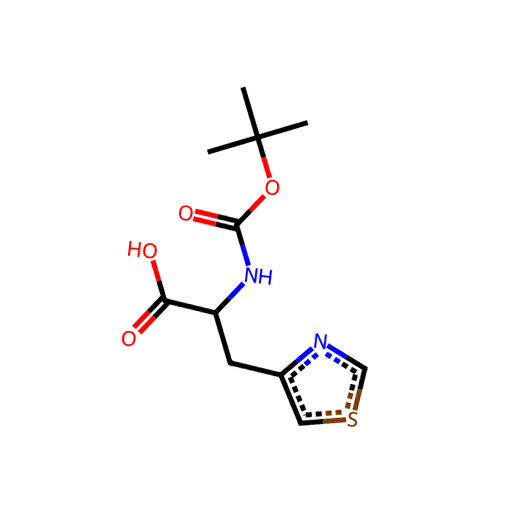 CC(C)(C)OC(=O)NC(Cc1cscn1)C(=O)O